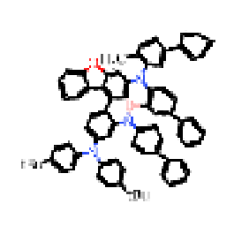 Cc1ccc(-c2ccccc2)cc1N1c2ccc(-c3ccccc3)cc2B2c3c1cc1oc4ccccc4c1c3-c1ccc(N(c3ccc(C(C)(C)C)cc3)c3ccc(C(C)(C)C)cc3)cc1N2c1ccc(-c2ccccc2)cc1